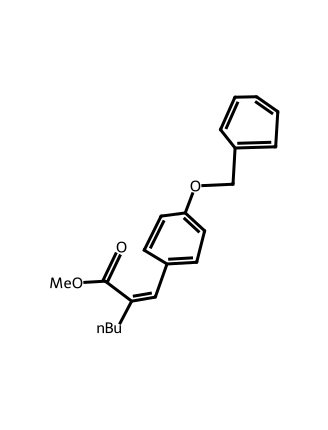 CCCCC(=Cc1ccc(OCc2ccccc2)cc1)C(=O)OC